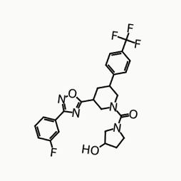 O=C(N1CCC(O)C1)N1CC(c2ccc(C(F)(F)F)cc2)CC(c2nc(-c3cccc(F)c3)no2)C1